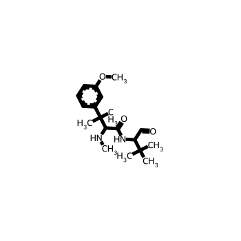 CNC(C(=O)NC(C=O)C(C)(C)C)C(C)(C)c1cccc(OC)c1